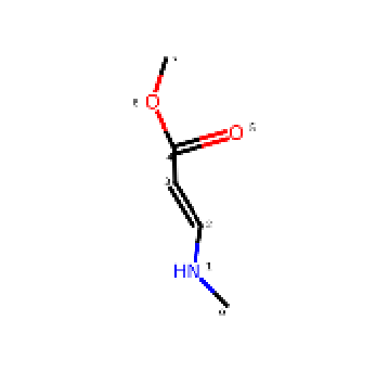 CNC=CC(=O)OC